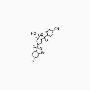 N#Cc1ccc(S(=O)(=O)[C@H]2CN(S(=O)(=O)c3ccc(F)cc3Br)C[C@@]2(O)CO)cc1